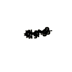 O=S(=O)([O-])CCC[n+]1cc(-c2ncccn2)sn1